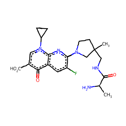 CC(N)C(=O)NCC1(C)CCN(c2nc3c(cc2F)c(=O)c(C(=O)O)cn3C2CC2)C1